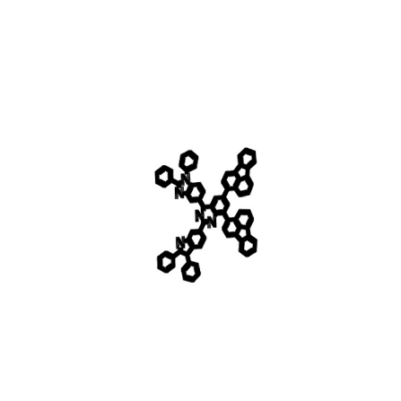 c1ccc(C2=Nc3cc(-c4nc(-c5ccc6c(c5)nc(-c5ccccc5)n6-c5ccccc5)c5cc(-c6ccc7c8c(cccc68)-c6ccccc6-7)cc(-c6ccc7c8c(cccc68)-c6ccccc6-7)c5n4)ccc3C2c2ccccc2)cc1